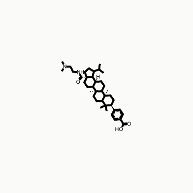 CC(C)C1CC[C@]2(C(=O)NCCN(C)C)CCC3[C@H](CCC4[C@@]3(C)CCC3C(C)(C)[C@H](c5ccc(C(=O)O)cc5)CC[C@@]34C)C12